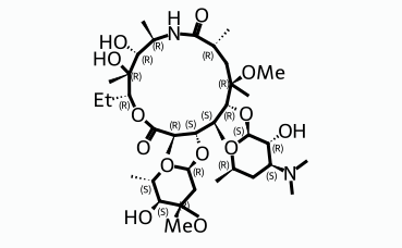 CC[C@H]1OC(=O)[C@H](C)[C@@H](O[C@H]2C[C@@](C)(OC)[C@@H](O)[C@H](C)O2)[C@H](C)[C@@H](O[C@@H]2O[C@H](C)C[C@H](N(C)C)[C@H]2O)[C@](C)(OC)C[C@@H](C)C(=O)N[C@H](C)[C@@H](O)[C@@]1(C)O